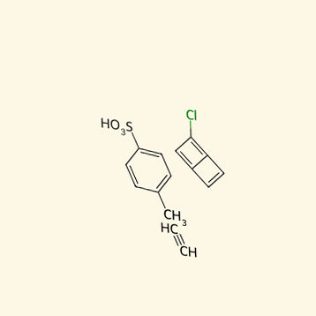 C#C.Cc1ccc(S(=O)(=O)O)cc1.Clc1cc2ccc1-2